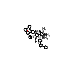 Bc1c(B)c(B)c2c(c1B)c1c(B)c(-c3ccc4c(c3)c3c(-c5ccccc5)cccc3n4-c3ccccc3-c3ccccc3)c(B)c(B)c1n2-c1ccc(-c2cccc(-c3ccccc3)c2)cc1